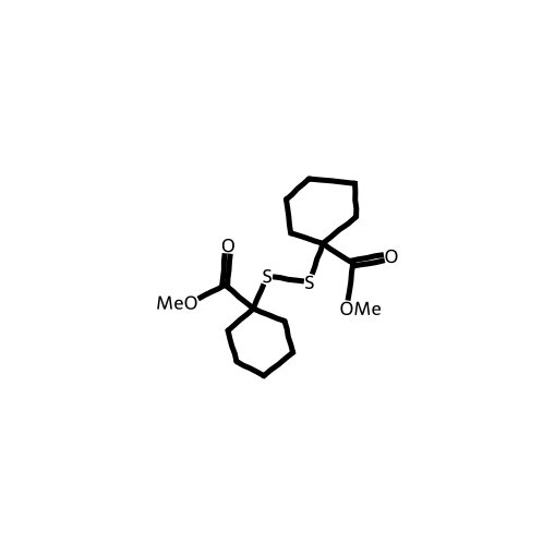 COC(=O)C1(SSC2(C(=O)OC)CCCCC2)CCCCC1